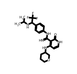 CC(C)NC(c1ccc(NC(=N)c2c(NC3CCCOC3)cc[nH]c2=O)cc1)C(F)(F)F